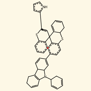 C1=CCC2Sc3ccc(C4=CC5C(C=C4)C4=C(C=CCC4)N5C4C=CC=CC4)cc3C3(C2=C1)C1=C(C=C(c2ccc[nH]2)CC1)Sc1ccccc13